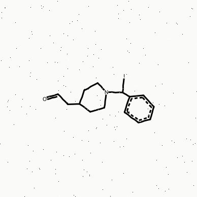 O=CCC1CCN(C(I)c2ccccc2)CC1